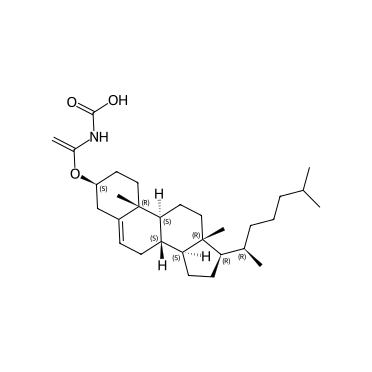 C=C(NC(=O)O)O[C@H]1CC[C@@]2(C)C(=CC[C@H]3[C@@H]4CC[C@H]([C@H](C)CCCC(C)C)[C@@]4(C)CC[C@@H]32)C1